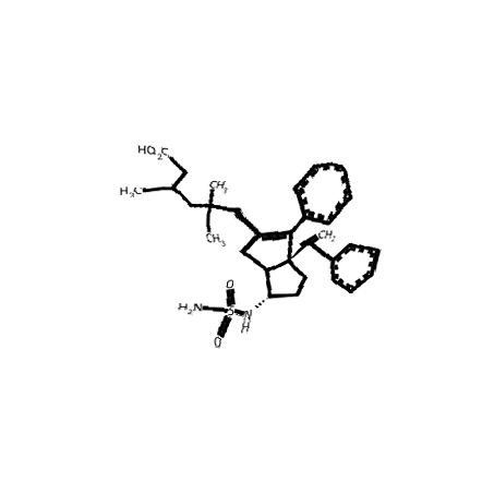 C=C(c1ccccc1)[C@@]12CC[C@H](NS(N)(=O)=O)C1CC(CC(C)(C)CC(C)CC(=O)O)=C2c1ccccc1